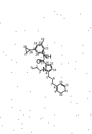 CCCn1c(CCCC2=CCCC=C2)ccc1C(=O)Nc1cc(C)cc(C2CC2)c1